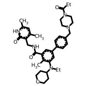 CCC(=O)N1CCN(Cc2ccc(-c3cc(C(=O)NCc4c(C)cc(C)[nH]c4=O)c(C)c(N(CC)C4CCOCC4)c3)cc2)CC1